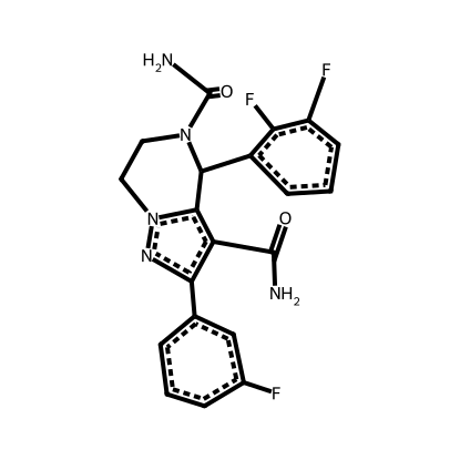 NC(=O)c1c(-c2cccc(F)c2)nn2c1C(c1cccc(F)c1F)N(C(N)=O)CC2